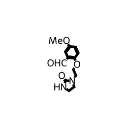 COc1ccc(OCCN2CCNC2=O)c(C=O)c1